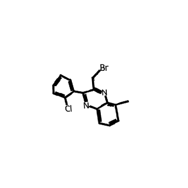 Cc1cccc2nc(-c3ccccc3Cl)c(CBr)nc12